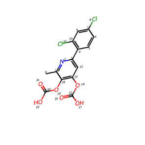 Cc1nc(-c2ccc(Cl)cc2Cl)cc(OC(=O)O)c1OC(=O)O